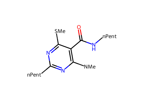 CCCCCNC(=O)c1c(NC)nc(CCCCC)nc1SC